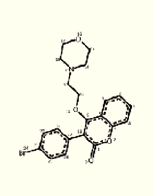 O=c1oc2ccccc2c(OCCN2CCOCC2)c1-c1ccc(Br)cc1